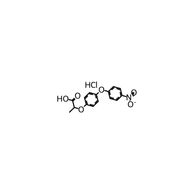 CC(Oc1ccc(Oc2ccc([N+](=O)[O-])cc2)cc1)C(=O)O.Cl